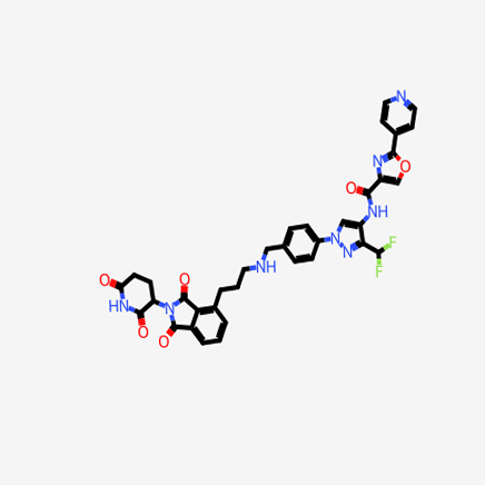 O=C1CCC(N2C(=O)c3cccc(CCCNCc4ccc(-n5cc(NC(=O)c6coc(-c7ccncc7)n6)c(C(F)F)n5)cc4)c3C2=O)C(=O)N1